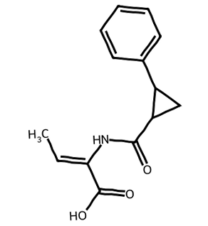 C/C=C(\NC(=O)C1CC1c1ccccc1)C(=O)O